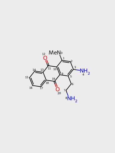 CNc1cc(N)c(CCN)c2c1C(=O)c1ccccc1C2=O